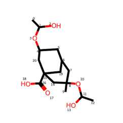 CC(O)OC1CC2CC(C)(OC(C)O)CC(C(=O)O)(C2)C1